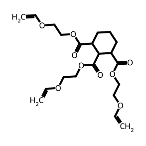 C=COCCOC(=O)C1CCCC(C(=O)OCCOC=C)C1C(=O)OCCOC=C